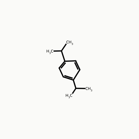 CC(C)c1[c]cc(C(C)C)cc1